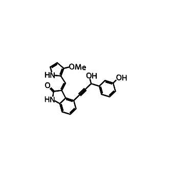 COc1cc[nH]c1C=C1C(=O)Nc2cccc(C#CC(O)c3cccc(O)c3)c21